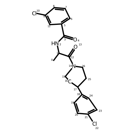 CC(NC(=O)c1cccc(Cl)c1)C(=O)N1CCC(c2ccc(Cl)cc2)CC1